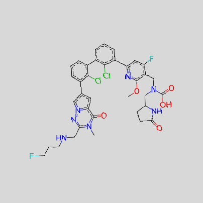 COc1nc(-c2cccc(-c3cccc(-c4cc5c(=O)n(C)c(CNCCCF)nn5c4)c3Cl)c2Cl)cc(F)c1CN(CC1CCC(=O)N1)C(=O)O